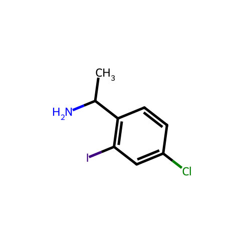 CC(N)c1ccc(Cl)cc1I